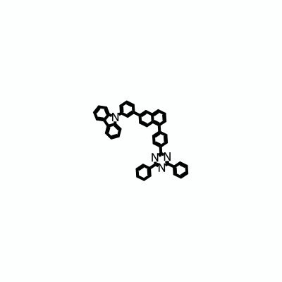 C1=CC(c2nc(-c3ccccc3)nc(-c3ccc(-c4cccc5cc(-c6cccc(-n7c8ccccc8c8ccccc87)c6)ccc45)cc3)n2)=CCC1